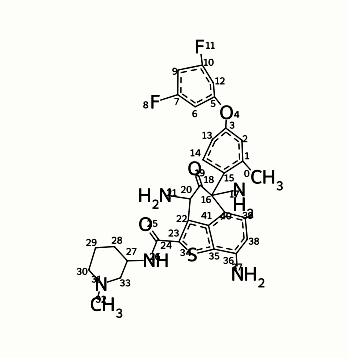 Cc1cc(Oc2cc(F)cc(F)c2)ccc1C1(N)C(=O)C(N)c2c(C(=O)NC3CCCN(C)C3)sc3c(N)ccc1c23